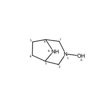 ON1CC2CCC(C1)N2